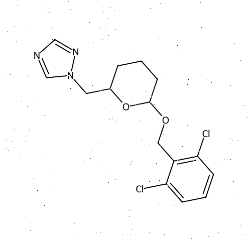 Clc1cccc(Cl)c1COC1CCCC(Cn2cncn2)O1